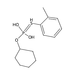 Cc1ccccc1[SH]=P(O)(O)OC1CCCCC1